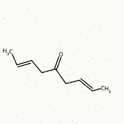 CC=CCC(=O)CC=CC